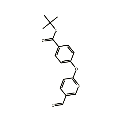 CC(C)(C)OC(=O)c1ccc(Oc2ccc(C=O)cn2)cc1